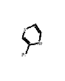 CC(C)C1=CSC=CN1